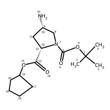 CC(C)(C)OC(=O)N1C[C@@H](N)C[C@H]1C(=O)OC1CCCC1